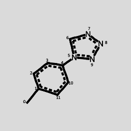 Cc1c[c]c(-n2cnnn2)cc1